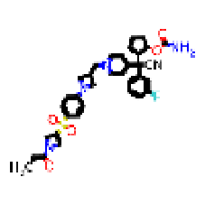 C=CC(=O)N1CC(S(=O)(=O)c2ccc(N3CC(CN4CCC(C(C#N)(c5cccc(F)c5)[C@H]5CCC[C@@H]5OC(N)=O)CC4)C3)cc2)C1